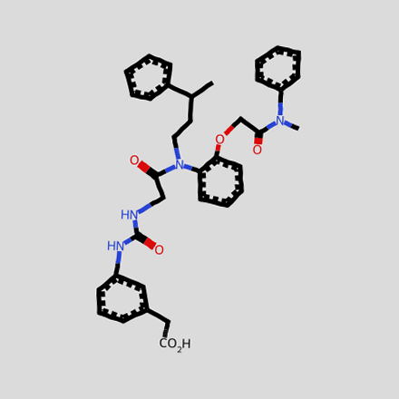 CC(CCN(C(=O)CNC(=O)Nc1cccc(CC(=O)O)c1)c1ccccc1OCC(=O)N(C)c1ccccc1)c1ccccc1